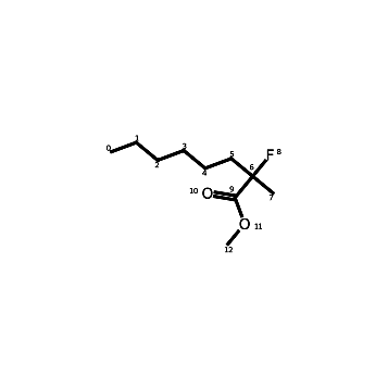 CCCCCCC(C)(F)C(=O)OC